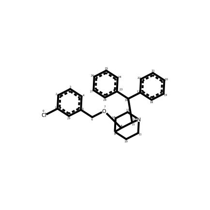 Clc1cccc(COC2C3CCN(CC3)C2C(c2ccccc2)c2ccccc2)c1